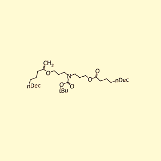 C=C(CCCCCCCCCCCCC)OCCCN(CCCOC(=O)CCCCCCCCCCCCC)C(=O)OC(C)(C)C